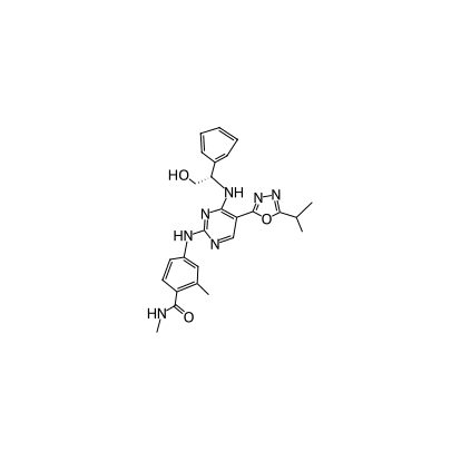 CNC(=O)c1ccc(Nc2ncc(-c3nnc(C(C)C)o3)c(N[C@H](CO)c3ccccc3)n2)cc1C